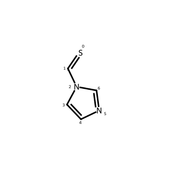 S=[C]n1ccnc1